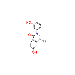 O=c1c2ccc(O)cc2c(Br)cn1-c1cccc(O)c1